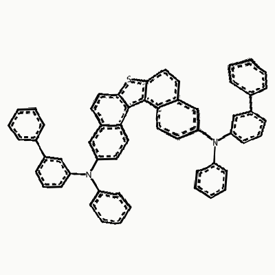 c1ccc(-c2cccc(N(c3ccccc3)c3ccc4c(ccc5sc6ccc7cc(N(c8ccccc8)c8cccc(-c9ccccc9)c8)ccc7c6c54)c3)c2)cc1